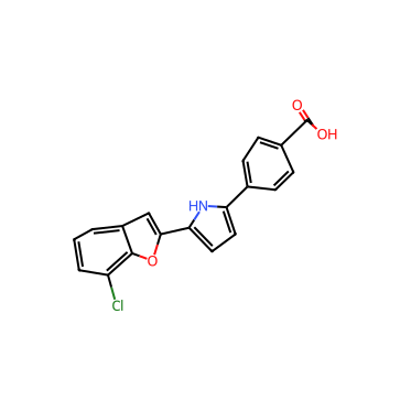 O=C(O)c1ccc(-c2ccc(-c3cc4cccc(Cl)c4o3)[nH]2)cc1